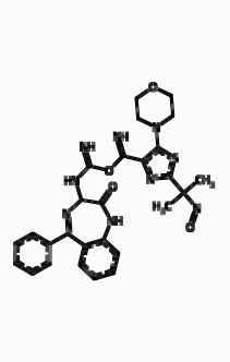 CC(C)(N=O)c1nc(C(=N)OC(=N)NC2N=C(c3ccccc3)c3ccccc3NC2=O)c(N2CCOCC2)s1